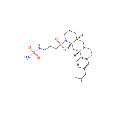 CC(C)Cc1ccc2c(c1)CCN1C[C@H]3CCCN(S(=O)(=O)CCCNS(N)(=O)=O)[C@H]3C[C@@H]21